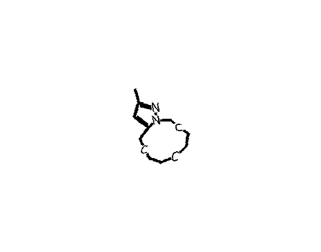 Cc1cc2n(n1)CCCCCCCCC2